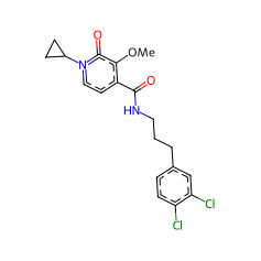 COc1c(C(=O)NCCCc2ccc(Cl)c(Cl)c2)ccn(C2CC2)c1=O